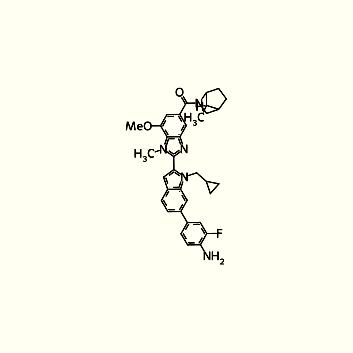 COc1cc(C(=O)N2CC3CCC2[C@@H]3C)cc2nc(-c3cc4ccc(-c5ccc(N)c(F)c5)cc4n3CC3CC3)n(C)c12